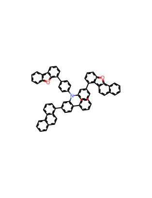 c1ccc(-c2ccc(-c3cccc4c3ccc3ccccc34)cc2N(c2ccc(-c3cccc4c3oc3ccccc34)cc2)c2cccc(-c3cccc4oc5c6ccccc6ccc5c34)c2)cc1